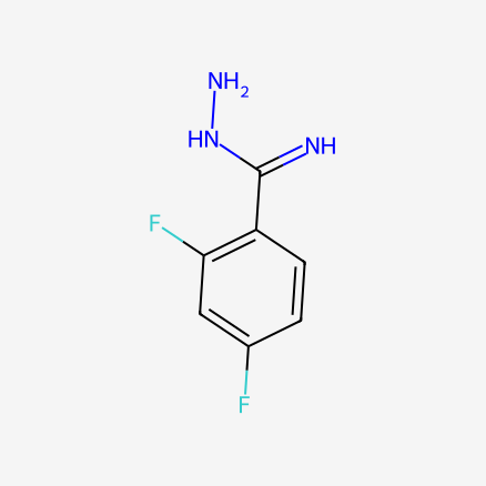 N=C(NN)c1ccc(F)cc1F